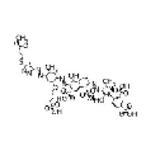 COC(=O)CCSc1nnc(N=Nc2cc(OCCCS(=O)(=O)O)c(N=Nc3c(S(=O)(=O)O)cc4c(S(=O)(=O)O)c(N=Nc5c(C)nn(-c6ccc(S(=O)(=O)O)cc6S(=O)(=O)O)c5O)ccc4c3O)cc2C)s1